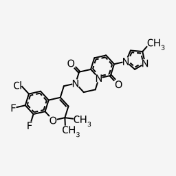 Cc1cn(-c2ccc3n(c2=O)CCN(CC2=CC(C)(C)Oc4c2cc(Cl)c(F)c4F)C3=O)cn1